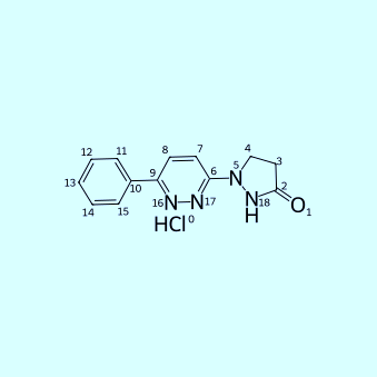 Cl.O=C1CCN(c2ccc(-c3ccccc3)nn2)N1